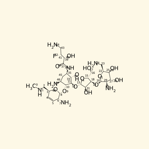 CNC[C@@H]1C=C[C@@H](N)[C@@H](O[C@H]2[C@H](O[C@@H]3O[C@H](CO)[C@@H](O[C@H]4O[C@@H](CN)[C@@H](O)[C@H](O)[C@H]4N)[C@H]3O)[C@@H](O)[C@H](NC(=O)[C@@H](O)[C@H](F)CN)C[C@@H]2N)O1